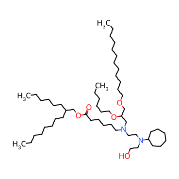 CCCCCCCCCCCCOCC(CN(CCCCCC(=O)OCC(CCCCCC)CCCCCCCC)CCN(CCO)C1CCCCCC1)OCCCCCC